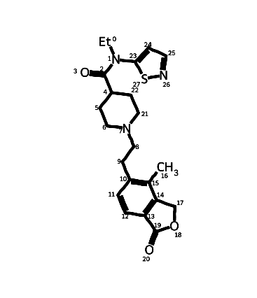 CCN(C(=O)C1CCN(CCc2ccc3c(c2C)COC3=O)CC1)c1ccns1